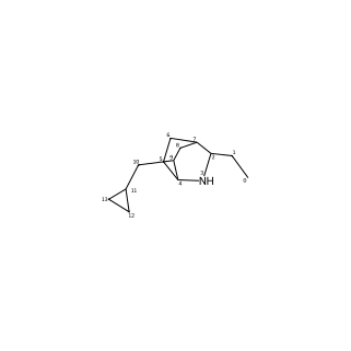 CCC1NC2CCC1CC2CC1CC1